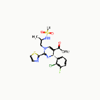 CCS(=O)(=O)NC(C)CN1C=C(C(=O)OC)[C@H](c2cccc(F)c2Cl)N=C1c1nccs1